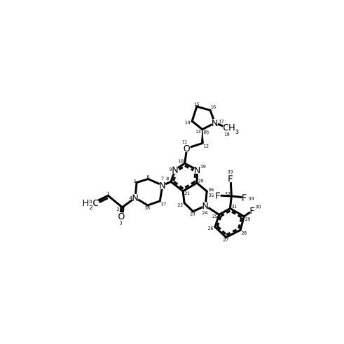 C=CC(=O)N1CCN(c2nc(OC[C@H]3CCCN3C)nc3c2CCN(c2cccc(F)c2C(F)(F)F)C3)CC1